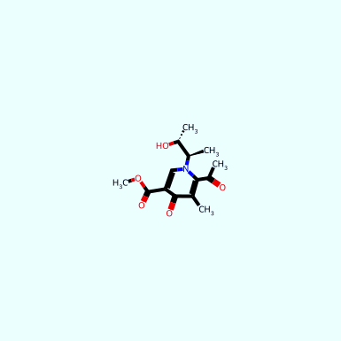 COC(=O)c1cn([C@H](C)[C@@H](C)O)c(C(C)=O)c(C)c1=O